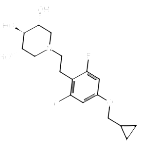 O[C@H]1[C@H](O)CN(CCc2c(F)cc(OCC3CC3)cc2F)C[C@@H]1O